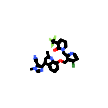 Cc1cc(-c2ncn(C)c2C#N)c2cccc(OCc3c(Cl)ccnc3Cn3cccc(C(F)(F)F)c3=O)c2n1